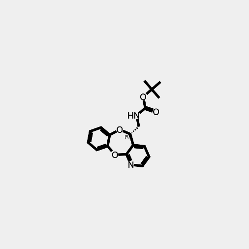 CC(C)(C)OC(=O)NC[C@H]1Oc2ccccc2Oc2ncccc21